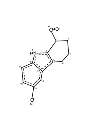 O=[C]C1CCCc2c1[nH]c1ccc(Cl)cc21